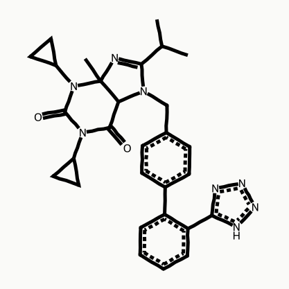 CC(C)C1=NC2(C)C(C(=O)N(C3CC3)C(=O)N2C2CC2)N1Cc1ccc(-c2ccccc2-c2nnn[nH]2)cc1